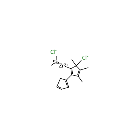 CC1=C(C)C(C)(C)[C]([Zr+2]=[Si](C)C)=C1C1=CC=CC1.[Cl-].[Cl-]